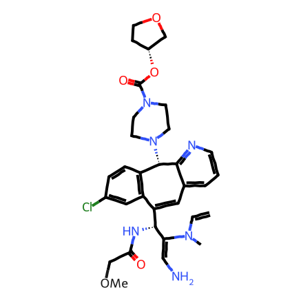 C=CN(C)/C(=C\N)[C@H](NC(=O)COC)C1=Cc2cccnc2[C@@H](N2CCN(C(=O)O[C@@H]3CCOC3)CC2)c2ccc(Cl)cc21